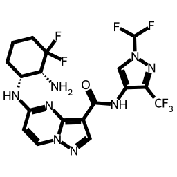 N[C@@H]1[C@H](Nc2ccn3ncc(C(=O)Nc4cn(C(F)F)nc4C(F)(F)F)c3n2)CCCC1(F)F